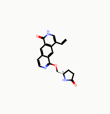 C=Cc1c[nH]c(=O)c2cc3ccnc(OC[C@@H]4CCC(=O)N4)c3cc12